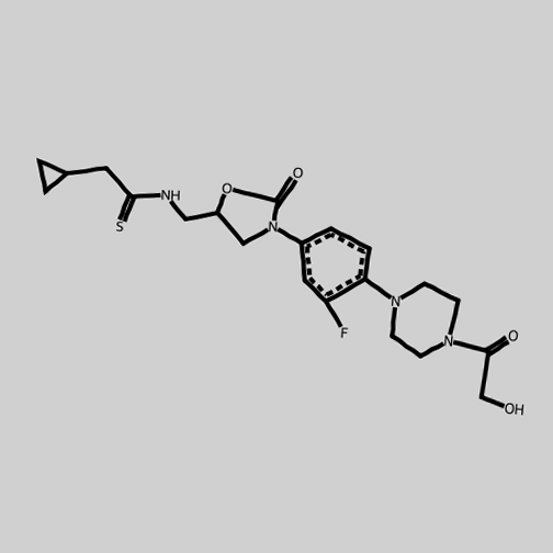 O=C(CO)N1CCN(c2ccc(N3CC(CNC(=S)CC4CC4)OC3=O)cc2F)CC1